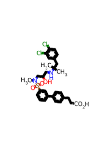 CN(CC(O)CNC(C)(C)Cc1ccc(Cl)c(Cl)c1)S(=O)(=O)c1cccc(-c2ccc(CCC(=O)O)cc2)c1